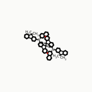 CC1(C)c2ccccc2-c2ccc(N(c3ccc4c(c3)C(C(C)(C)C)(C3(C(C)(C)C)c5ccccc5-c5ccc(N(c6ccc7c(c6)C(C)(C)c6ccccc6-7)c6ccc7ccccc7c6)cc53)c3ccccc3-4)c3ccc4ccccc4c3)cc21